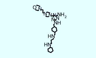 Nc1nc(NCC2CCC(CNCCCNC3CCCCC3)CC2)nc(N2CCN(CCN3CCOCC3)CC2)n1